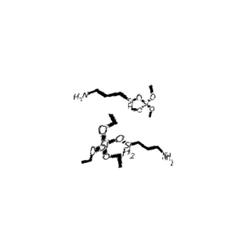 CCO[Si](OCC)(OCC)O[SiH2]CCCN.CO[Si](OC)(OC)O[SiH2]CCCN